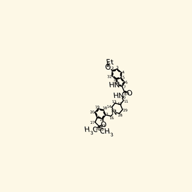 CCOc1ccc2cc(C(=O)NCC3CCN(Cc4cccc5c4OC(C)(C)C5)CC3)[nH]c2c1